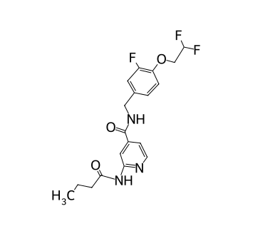 CCCC(=O)Nc1cc(C(=O)NCc2ccc(OCC(F)F)c(F)c2)ccn1